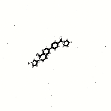 O=C(c1ccc(-c2ccc3c(c2)CCN(C2CCNC2)C3=O)cc1)N1CCCC1